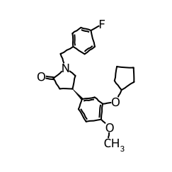 COc1ccc([C@H]2CC(=O)N(Cc3ccc(F)cc3)C2)cc1OC1CCCC1